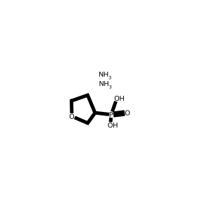 N.N.O=P(O)(O)C1CCOC1